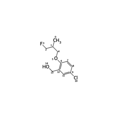 CC(CF)COc1ccc(Cl)cc1CO